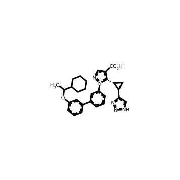 CC(Oc1cccc(-c2cccc(-n3ncc(C(=O)O)c3[C@@H]3C[C@H]3c3c[nH]nn3)c2)c1)C1CCCCC1